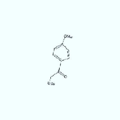 COc1ccc(C(=O)COCC(C)C)cc1